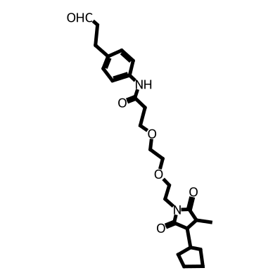 CC1C(=O)N(CCOCCOCCC(=O)Nc2ccc(CCC=O)cc2)C(=O)C1C1CCCC1